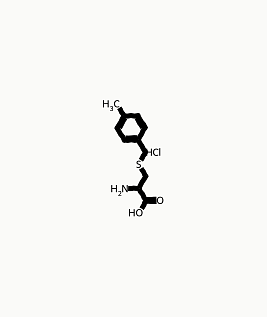 Cc1ccc(CSCC(N)C(=O)O)cc1.Cl